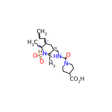 C=C/C=C1/C[C@@H](CNC(=O)N2CCC(C(=O)O)CC2)[C@@H](C)N([SH](=O)=O)/C1=C/C